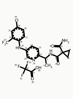 CC(NC(=O)C1(C(N)=O)CC1)c1ccc(Nc2ccc(Cl)cc2C(F)(F)F)cn1.O=C(O)C(F)(F)F